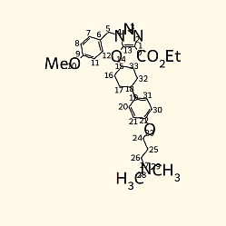 CCOC(=O)c1nnn(Cc2ccc(OC)cc2)c1O[C@H]1CC[C@H](c2ccc(OCCCN(C)C)cc2)CC1